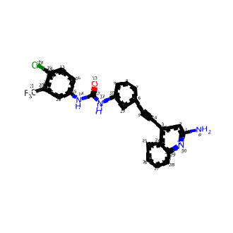 Nc1cc(C#Cc2cccc(NC(=O)Nc3ccc(Cl)c(C(F)(F)F)c3)c2)c2ccccc2n1